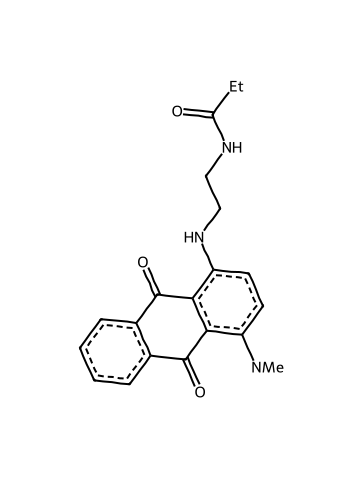 CCC(=O)NCCNc1ccc(NC)c2c1C(=O)c1ccccc1C2=O